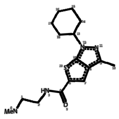 CNCCNC(=O)c1cc2c(C)nn(C3CCCCC3)c2s1